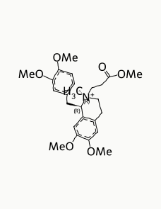 COC(=O)CC[N@@+]1(C)CCc2cc(OC)c(OC)cc2[C@H]1Cc1ccc(OC)c(OC)c1